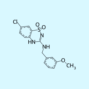 COc1cccc(CNC2=NS(=O)(=O)c3cc(Cl)ccc3N2)c1